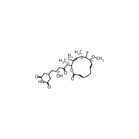 CO[C@H]1/C=C/CC/C=C/C(=O)OC([C@@H](C)C(=O)C[C@H](O)CC2CC(=O)NC(=O)C2)/C(C)=C\[C@H](C)C1F